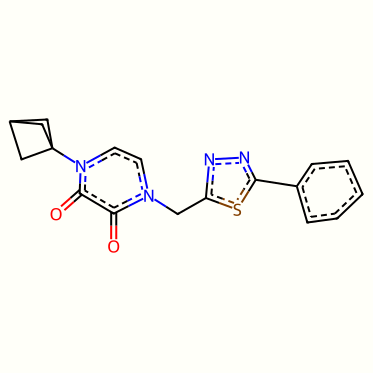 O=c1c(=O)n(C23CC(C2)C3)ccn1Cc1nnc(-c2ccccc2)s1